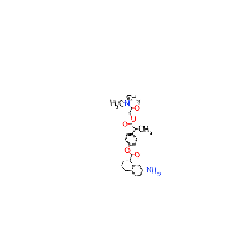 CC(C(=O)OCC(=O)N(C)C)c1ccc(OC(=O)C2CCCc3ccc(N)cc32)cc1